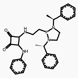 C[C@@H](c1ccccc1)N1CCN([C@@H](C)c2ccccc2)P1CCNC1C(=O)C(=O)C1Nc1ccccc1